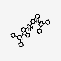 c1ccc(-c2cc(-c3ccccc3)nc(-n3c4ccccc4c4ccc(-c5nnc(-c6cccc7c6c6ccccc6n7-c6cc(-c7ccccc7)cc(-c7ccccc7)n6)s5)cc43)c2)cc1